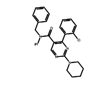 CC(C)N(Cc1ccccc1)C(=O)c1cnc(N2CCCCC2)nc1-c1ccccc1Cl